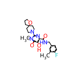 Cc1cc(CNC(=O)c2nc(N3CCC4(CCCO4)CC3)n(C)c(=O)c2O)ccc1F